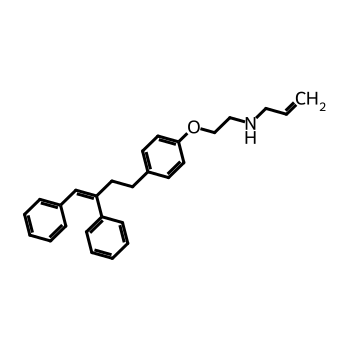 C=CCNCCOc1ccc(CCC(=Cc2ccccc2)c2ccccc2)cc1